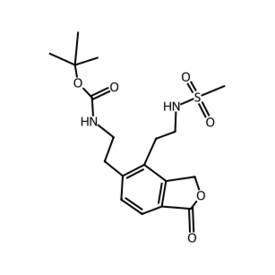 CC(C)(C)OC(=O)NCCc1ccc2c(c1CCNS(C)(=O)=O)COC2=O